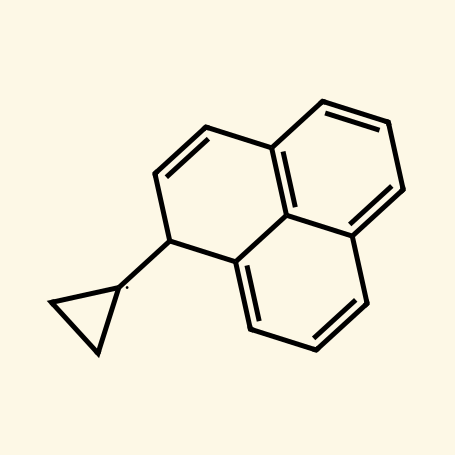 C1=CC([C]2CC2)c2cccc3cccc1c23